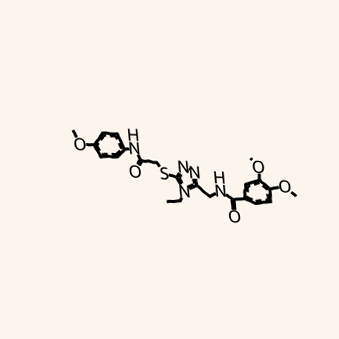 CCn1c(CNC(=O)c2ccc(OC)c(OC)c2)nnc1SCC(=O)Nc1ccc(OC)cc1